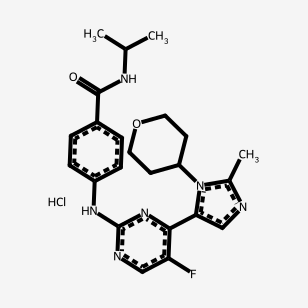 Cc1ncc(-c2nc(Nc3ccc(C(=O)NC(C)C)cc3)ncc2F)n1C1CCOCC1.Cl